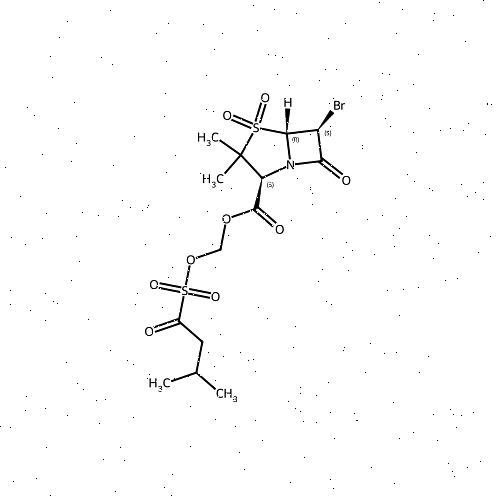 CC(C)CC(=O)S(=O)(=O)OCOC(=O)[C@@H]1N2C(=O)[C@H](Br)[C@H]2S(=O)(=O)C1(C)C